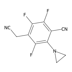 N#CCc1c(F)c(F)c(C#N)c(N2CC2)c1F